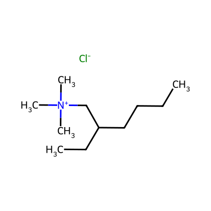 CCCCC(CC)C[N+](C)(C)C.[Cl-]